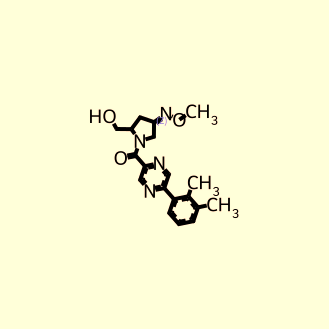 CO/N=C1/CC(CO)N(C(=O)c2cnc(-c3cccc(C)c3C)cn2)C1